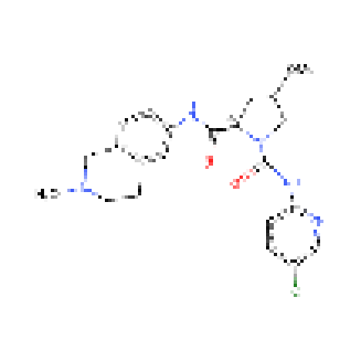 COC1C[C@H](C(=O)Nc2ccc3c(c2)CCN(C)C3)N(C(=O)Nc2ccc(Cl)cn2)C1